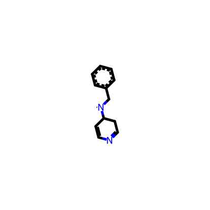 C1=CC([N]Cc2ccccc2)CC=N1